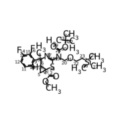 COC(=O)[C@]12C[C@H]1[C@@](C)(c1cccc(F)c1F)N=C(N(COCC[Si](C)(C)C)C(=O)OC(C)(C)C)S2